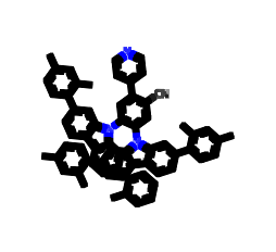 Cc1ccc(-c2ccc3c4ccc(-c5ccc(C)cc5C)cc4n(-c4cc(C#N)c(-c5ccncc5)cc4-n4c5cc(-c6ccccc6C)ccc5c5ccc(-c6ccc(C)cc6C)cc54)c3c2)c(C)c1